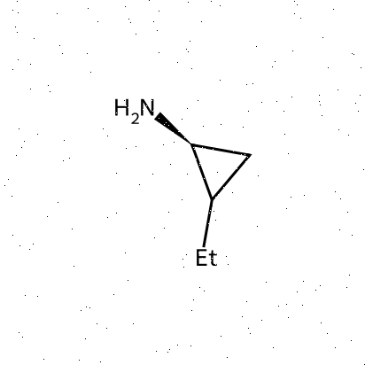 CCC1C[C@@H]1N